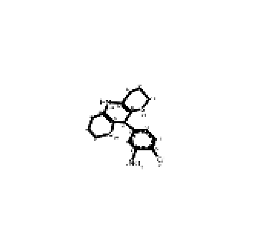 O=[N+]([O-])c1cc(C2C3=C(CCCS3)NC3=C2SCCC3)ccc1Cl